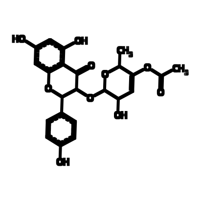 CC(=O)OC1=CC(O)C(OC2C(=O)c3c(O)cc(O)cc3OC2c2ccc(O)cc2)OC1C